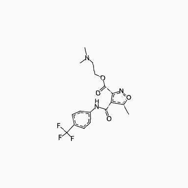 Cc1onc(C(=O)OCCN(C)C)c1C(=O)Nc1ccc(C(F)(F)F)cc1